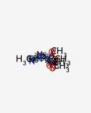 COc1cc(OC)cc(N(CC2CN(C(C)C)C(=O)O2)c2ccc3ncc(-c4cnn(C)c4)nc3c2)c1